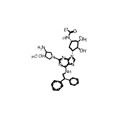 CCC(=O)N[C@H]1C[C@@H](n2cnc3c(NCC(c4ccccc4)c4ccccc4)nc(N4CCC(N)C4)nc32)[C@H](O)[C@@H]1O.Cl.Cl